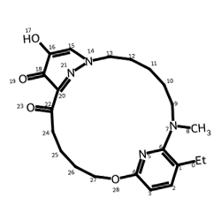 CCc1ccc2nc1N(C)CCCCCn1cc(O)c(=O)c(n1)C(=O)CCCCO2